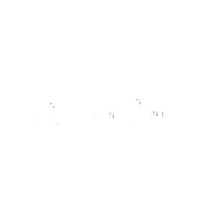 Nc1nc2ccc(Oc3ccc(Cl)c(NC(=O)C(F)(F)F)c3)nc2s1